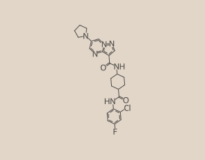 O=C(NC1CCC(C(=O)Nc2ccc(F)cc2Cl)CC1)c1cnn2cc(N3CCCC3)cnc12